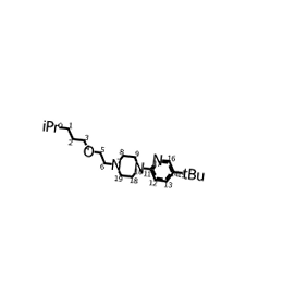 CC(C)CCCOCCN1CCN(c2ccc(C(C)(C)C)cn2)CC1